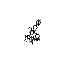 CCc1nc2c(NC)ncc(-c3ccc(N4CCC(N5CCN(C)CC5)CC4)c(OC)c3)c2nc1NC1CCCC(O)C1